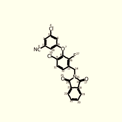 N#Cc1cc(Cl)cc(Oc2c(Cl)ccc(CN3C(=O)c4ccccc4C3=O)c2F)c1